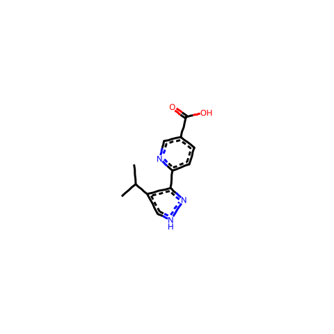 CC(C)c1c[nH]nc1-c1ccc(C(=O)O)cn1